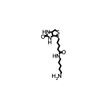 NCCCCCNC(=O)CCCC[C@@H]1SCC2NC(=O)NC21